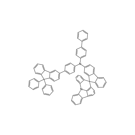 c1ccc(-c2ccc(N(c3ccc(-c4ccc5c(c4)-c4ccccc4C5(c4ccccc4)c4ccccc4)cc3)c3ccc4c(c3)C3(c5ccccc5-4)c4ccccc4-n4c5ccccc5c5cccc3c54)cc2)cc1